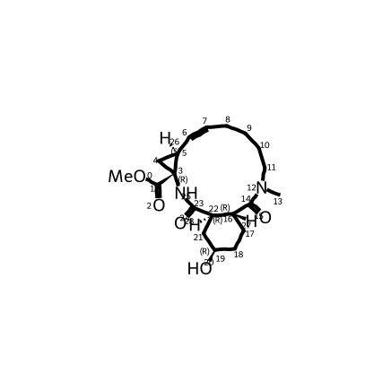 COC(=O)[C@@]12C[C@H]1C=CCCCCN(C)C(=O)[C@@H]1CC[C@@H](O)C[C@H]1C(=O)N2